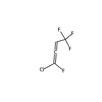 FC(Cl)=C=CC(F)(F)F